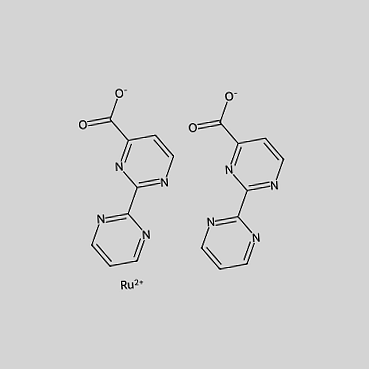 O=C([O-])c1ccnc(-c2ncccn2)n1.O=C([O-])c1ccnc(-c2ncccn2)n1.[Ru+2]